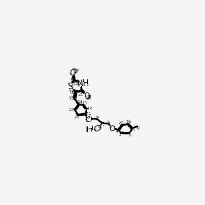 Cc1ccc(OC[C@H](O)COc2ccc(C=C3SC(=O)NC3=O)cc2)cc1